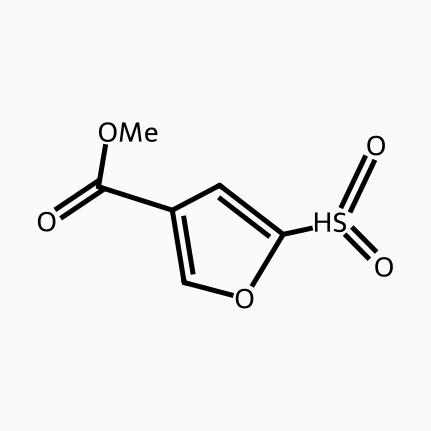 COC(=O)c1coc([SH](=O)=O)c1